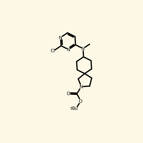 CN(c1ccnc(Cl)n1)C1CCC2(CC1)CCN(C(=O)OC(C)(C)C)C2